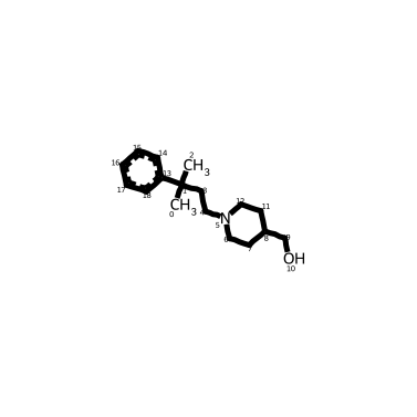 CC(C)(CCN1CCC(CO)CC1)c1ccccc1